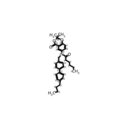 CCCCCC(=O)N(Cc1ccc(-c2ccc(CCCC)cc2)cc1)c1ccc2c(c1)C(=O)OC(C)(C)O2